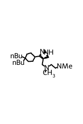 CCCCC1(CCCC)CCC(c2n[nH]cc2CN(C)CCNC)CC1